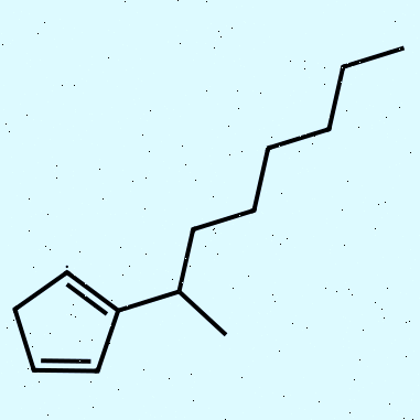 CCCCCCC(C)C1=[C]CC=C1